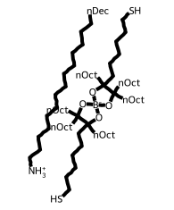 CCCCCCCCC1(CCCCCCS)O[B-]2(OC(CCCCCCS)(CCCCCCCC)C(CCCCCCCC)(CCCCCCCC)O2)OC1(CCCCCCCC)CCCCCCCC.CCCCCCCCCCCCCCCCCCCCCCCC[NH3+]